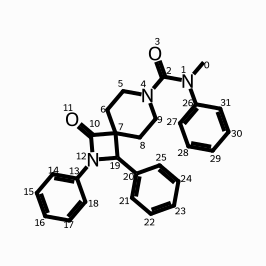 CN(C(=O)N1CCC2(CC1)C(=O)N(c1ccccc1)C2c1ccccc1)c1ccccc1